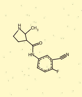 CC1NCCC1C(=O)Nc1ccc(F)c(C#N)c1